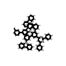 Cc1cccc(-c2ccc3c(c2)c2ccccc2n3-c2c(-c3cccc(-n4c5ccccc5c5ccccc54)c3)cc(-c3cc(-c4ccccc4)nc(-c4ccccc4)n3)cc2-c2cccc(-n3c4ccccc4c4ccccc43)c2)c1